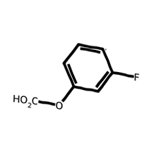 O=C(O)Oc1cc[c]c(F)c1